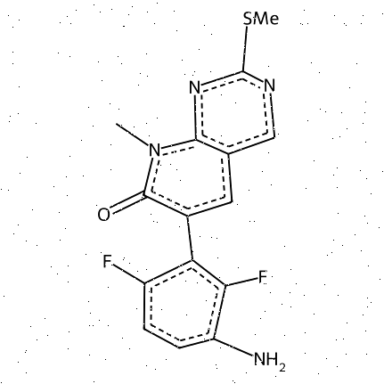 CSc1ncc2cc(-c3c(F)ccc(N)c3F)c(=O)n(C)c2n1